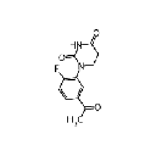 CC(=O)c1ccc(F)c(N2CCC(=O)NC2=O)c1